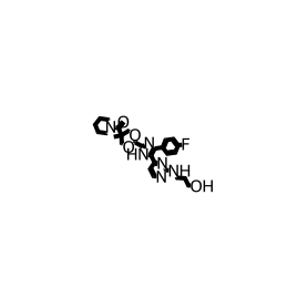 CC1(C(=O)N2CCCCC2)COC(c2nc(-c3ccc(F)cc3)c(-c3ccnc(NCCCO)n3)[nH]2)OC1